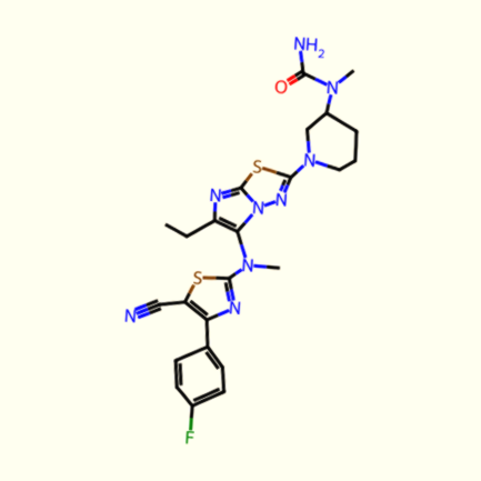 CCc1nc2sc(N3CCCC(N(C)C(N)=O)C3)nn2c1N(C)c1nc(-c2ccc(F)cc2)c(C#N)s1